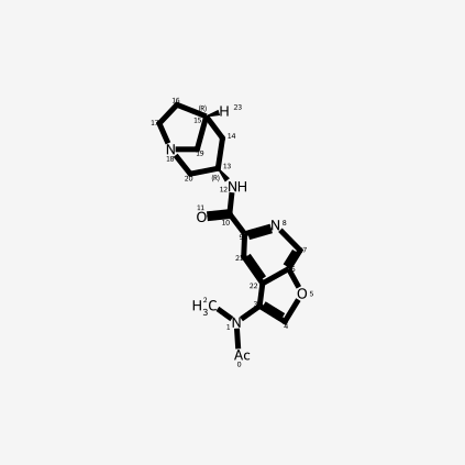 CC(=O)N(C)c1coc2cnc(C(=O)N[C@@H]3C[C@H]4CCN(C4)C3)cc12